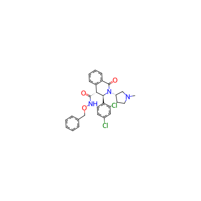 CN1CC[C@H](N2C(=O)c3ccccc3[C@@H](C(=O)NOCc3ccccc3)[C@@H]2c2ccc(Cl)cc2Cl)C1